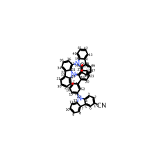 N#Cc1ccc2c(c1)c1ccccc1n2-c1cccc(-c2cccc(C#N)c2-n2c3ccccc3c3cccc(-n4c5ccccc5c5ccccc54)c32)c1